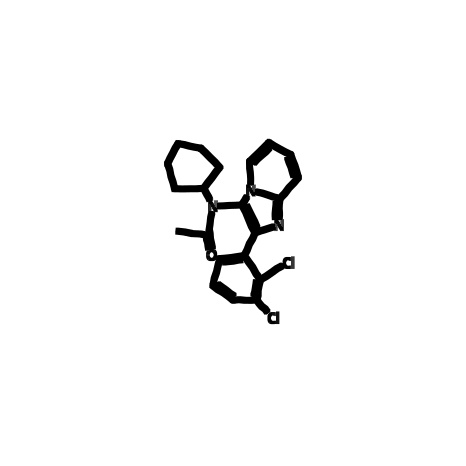 CC(=O)N(c1c(-c2cccc(Cl)c2Cl)nc2ccccn12)C1CCCCC1